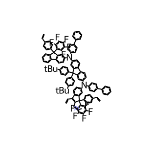 C=CC1=C(/C=C\C)C(c2ccc(C=C)cc2)(c2c(F)c(F)c(F)c(F)c2F)c2cc(N(c3ccc(-c4ccccc4)cc3)c3ccc4c(c3)C(c3ccc(C(C)(C)C)cc3)(c3ccc(C(C)(C)C)cc3)c3cc(N(c5ccc(-c6ccccc6)cc5)c5ccc6c(c5)C(c5ccc(C=C)cc5)(c5c(F)c(F)c(F)c(F)c5F)c5ccccc5-6)ccc3-4)ccc21